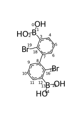 OB(O)c1cccc(-c2cccc(B(O)O)c2Br)c1Br